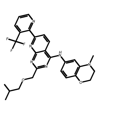 CC(C)COCc1nc(Nc2ccc3c(c2)N(C)CCO3)c2ccc(-c3ncccc3C(F)(F)F)nc2n1